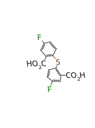 O=C(O)c1cc(F)ccc1Sc1ccc(F)cc1C(=O)O